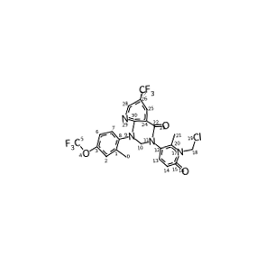 Cc1cc(OC(F)(F)F)ccc1N1CN(c2ccc(=O)n(CCl)c2C)C(=O)c2cc(C(F)(F)F)cnc21